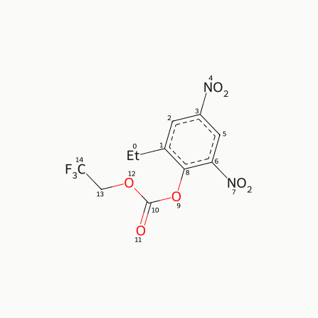 CCc1cc([N+](=O)[O-])cc([N+](=O)[O-])c1OC(=O)OCC(F)(F)F